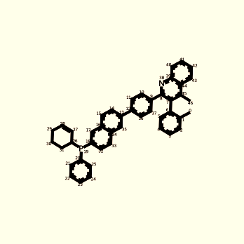 Cc1ccccc1-c1c(-c2ccc(-c3ccc4cc(P(c5ccccc5)C5C=CCCC5)ccc4c3)cc2)nc2ccccc2c1C